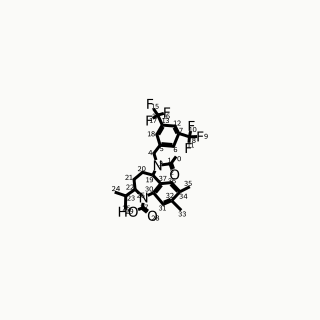 CC(=O)N(Cc1cc(C(F)(F)F)cc(C(F)(F)F)c1)C1CCC(C(C)C)N(C(=O)O)c2cc(C)c(C)cc21